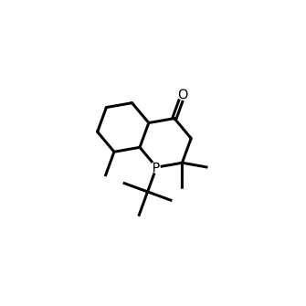 CC1CCCC2C(=O)CC(C)(C)P(C(C)(C)C)C12